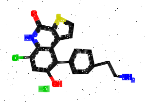 Cl.NCCc1ccc(-c2c(O)cc(Cl)c3[nH]c(=O)c4sccc4c23)cc1